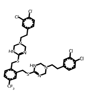 FC(F)(F)c1ccc(CSC2=NCN(CCc3ccc(Cl)c(Cl)c3)CN2)c(CSC2=NCN(CCc3ccc(Cl)c(Cl)c3)CN2)c1